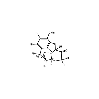 [2H]c1c([2H])c2c3c(c1OC)OC1([2H])C(=O)C([2H])([2H])C[C@@H]4[C@@]31CCN(C)[C@]4([2H])C2([2H])[2H]